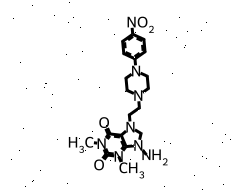 Cn1c2c(c(=O)n(C)c1=O)N(CCN1CCN(c3ccc([N+](=O)[O-])cc3)CC1)CN2N